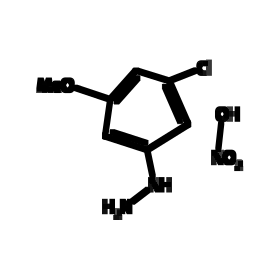 COc1cc(Cl)cc(NN)c1.O=[N+]([O-])O